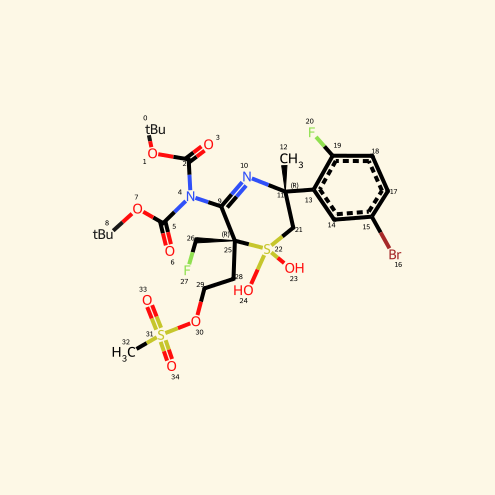 CC(C)(C)OC(=O)N(C(=O)OC(C)(C)C)C1=N[C@](C)(c2cc(Br)ccc2F)CS(O)(O)[C@]1(CF)CCOS(C)(=O)=O